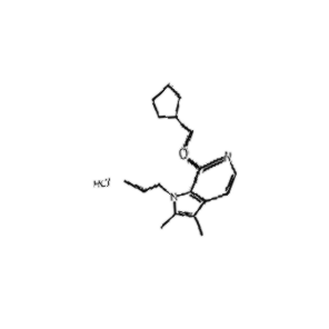 CCCn1c(C)c(C)c2ccnc(OCC3CCCC3)c21.Cl